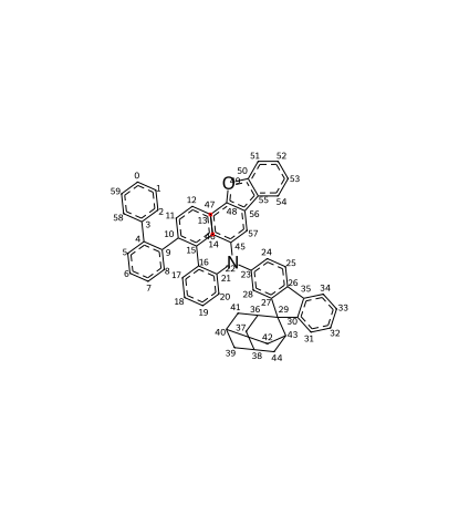 c1ccc(-c2ccccc2-c2ccccc2-c2ccccc2N(c2ccc3c(c2)C2(c4ccccc4-3)C3CC4CC(C3)CC2C4)c2ccc3oc4ccccc4c3c2)cc1